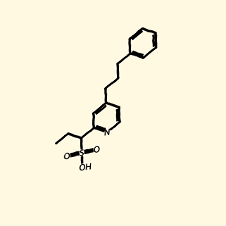 CCC(c1cc(CCCc2ccccc2)ccn1)S(=O)(=O)O